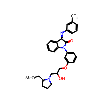 COC[C@@H]1CCCN1CC(O)COc1cccc(N2C(=O)C(=Nc3cccc(C(F)(F)F)c3)c3ccccc32)c1